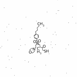 CCCCCc1ccc(S(=O)(=O)N(CCN2CCOCC2)CC(C)C(=O)CS)cc1